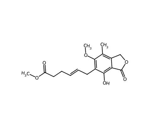 COC(=O)CCC=CCc1c(O)c2c(c(C)c1OC)COC2=O